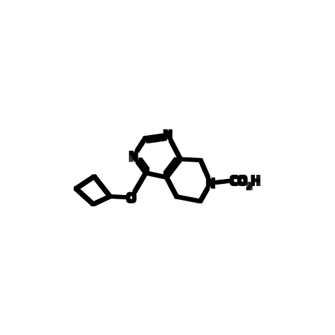 O=C(O)N1CCc2c(ncnc2OC2CCC2)C1